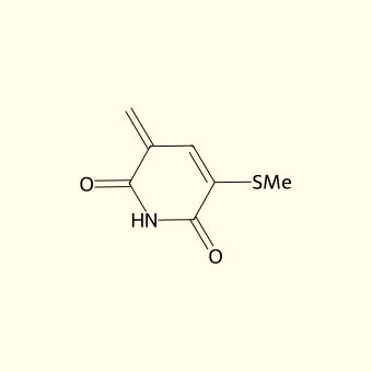 C=C1C=C(SC)C(=O)NC1=O